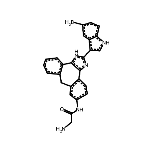 Bc1ccc2[nH]cc(-c3nc4c([nH]3)-c3ccccc3Cc3cc(NC(=O)CN)ccc3-4)c2c1